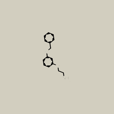 NCCOc1cccc(OCc2ccccc2)c1